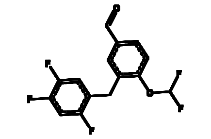 O=Cc1ccc(OC(F)F)c(Cc2cc(F)c(F)cc2F)c1